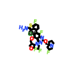 N#Cc1c(N)sc2c(F)ccc(-c3c(Cl)c4c5c(nc(OC[C@@]67CCCN6C[C@H](F)C7)nc5c3F)N(CC(F)F)C3COCC3CO4)c12